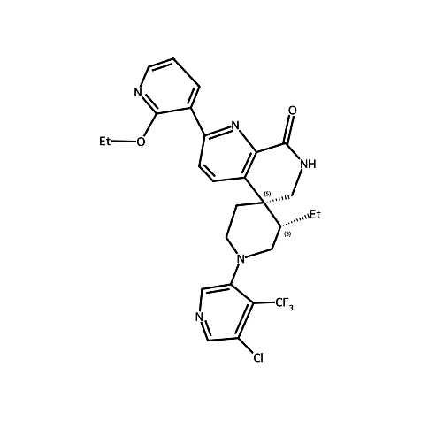 CCOc1ncccc1-c1ccc2c(n1)C(=O)NC[C@]21CCN(c2cncc(Cl)c2C(F)(F)F)C[C@H]1CC